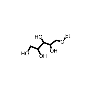 CCOCC(O)C(O)C(O)CO